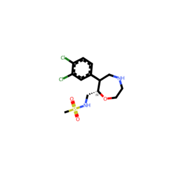 CS(=O)(=O)NC[C@H]1OCCNCC1c1ccc(Cl)c(Cl)c1